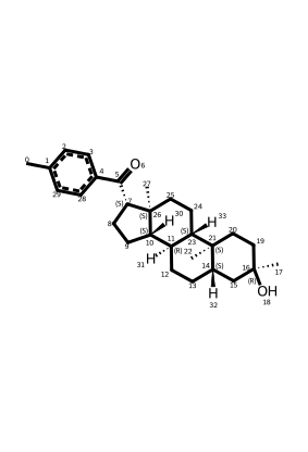 Cc1ccc(C(=O)[C@H]2CC[C@H]3[C@@H]4CC[C@H]5C[C@](C)(O)CC[C@]5(C)[C@H]4CC[C@]23C)cc1